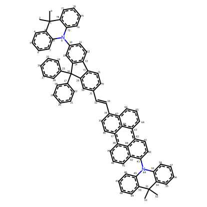 CC1(C)c2ccccc2N(c2ccc3c(c2)C(c2ccccc2)(c2ccccc2)c2cc(/C=C/c4ccc5c6cccc7c(N8c9ccccc9C(C)(C)c9ccccc98)ccc(c8cccc4c58)c76)ccc2-3)c2ccccc21